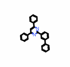 c1ccc(-c2cccc(-c3nc(-c4ccccc4)cc(-c4ccccc4)n3)c2)cc1